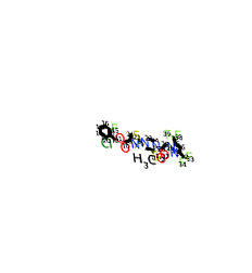 C[S+]([O-])C1CN(c2nc(C(=O)OCc3c(F)cccc3Cl)cs2)CCN1C(=O)Cn1nc(C(F)F)cc1C(F)F